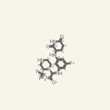 NC(=O)C(Nc1cc(F)cc(NC2CCC(=O)NC2=O)c1)N1CCNC[C@@H]1C(F)(F)F